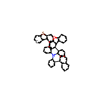 c1cc(-c2cccc3sc4ccccc4c23)cc(N(c2ccccc2-c2cccc3ccccc23)c2ccccc2-c2cccc3oc4ccccc4c23)c1